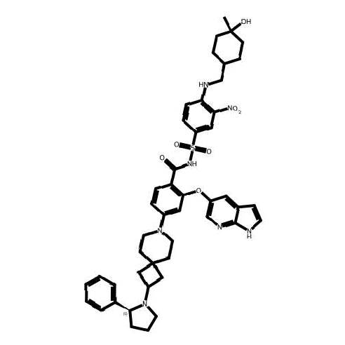 CC1(O)CCC(CNc2ccc(S(=O)(=O)NC(=O)c3ccc(N4CCC5(CC4)CC(N4CCC[C@H]4c4ccccc4)C5)cc3Oc3cnc4[nH]ccc4c3)cc2[N+](=O)[O-])CC1